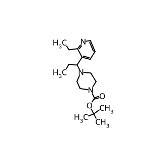 CCc1ncccc1C(CC)N1CCN(C(=O)OC(C)(C)C)CC1